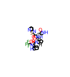 O=C1NCC[C@H]1C[C@H](NC(=O)[C@@H]1[C@H]2CCC[C@H]2CN1C(=O)[C@@H](NC(=O)C(F)(F)F)C12CC3CC(CC(C3)C1)C2)C(=O)c1nc2cccnc2s1